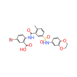 Cc1ccc(S(=O)(=O)Nc2ccc3c(c2)OCCO3)cc1C(=O)Nc1ccc(Br)cc1C(=O)O